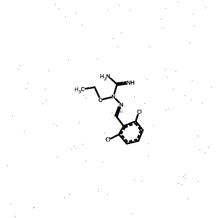 CCON(/N=C/c1c(Cl)cccc1Cl)C(=N)N